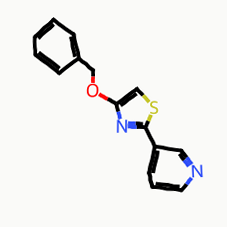 c1ccc(COc2csc(-c3cccnc3)n2)cc1